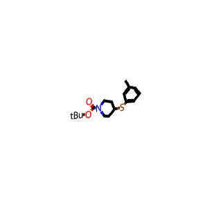 Cc1cccc(SC2CCN(C(=O)OC(C)(C)C)CC2)c1